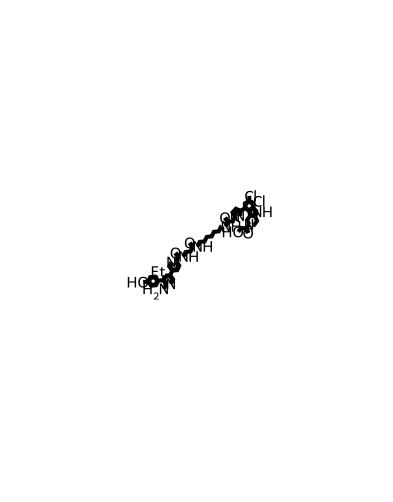 CCc1c(-c2ccc(C(=O)NCCC(=O)NCCCCCCCNC(=O)Cn3ccc(-c4cc(Cl)c(Cl)c5[nH]c6c(c45)CN(C(=O)CO)CC6)n3)nc2)cnc(N)c1-c1ccc(O)cc1